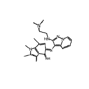 CC1=CC(=Nc2c(NCCN(C)C)nn3ccccc23)C(=N)c2c(C)c(C)n(C)c21